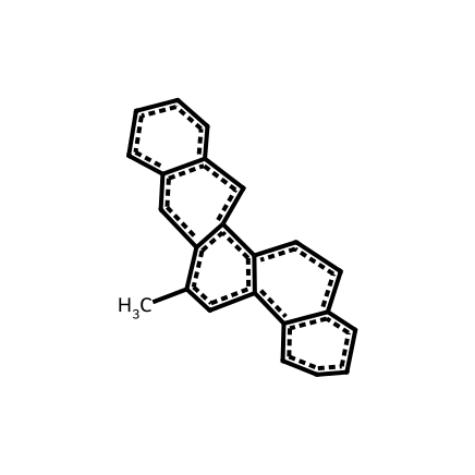 Cc1cc2c3ccccc3ccc2c2cc3ccccc3cc12